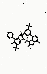 CC1=Cc2c(cc(C(C)(C)C)c(C)c2-c2ccccc2)C1[Si](C)(C)C1C(C)=Cc2c(C)ccc(-c3cc(C(C)(C)C)cc(C(C)(C)C)c3)c21